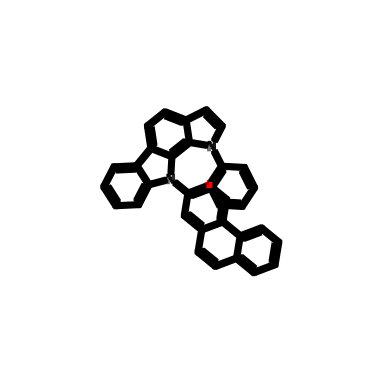 c1ccc(-n2ccc3ccc4c5ccccc5n(-c5ccc6c(ccc7ccccc76)c5)c4c32)cc1